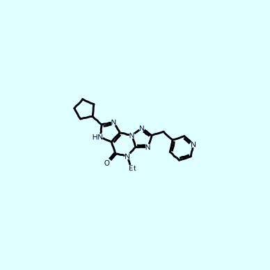 CCn1c(=O)c2[nH]c(C3CCCC3)nc2n2nc(Cc3cccnc3)nc12